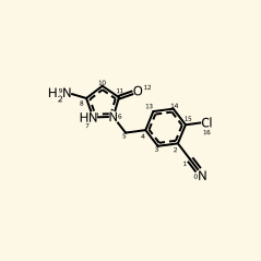 N#Cc1cc(Cn2[nH]c(N)cc2=O)ccc1Cl